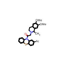 COc1cc2c(cc1OC)C(C)N(CC(=O)N1c3ccccc3Sc3ccc(C(C)=O)cc31)CC2